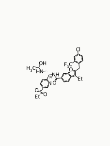 CCc1c(Cc2ccc(Cl)cc2C(F)(F)F)oc2cc(C(=O)N[C@@H](CNC(C)O)c3ccc(S(=O)(=O)CC)cn3)ccc12